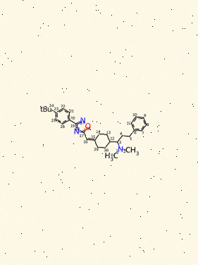 CN(C)C(CCc1ccccc1)C1CCC(=Cc2nc(-c3ccc(C(C)(C)C)cc3)no2)CC1